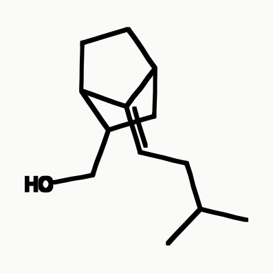 CC(C)CC=C1C2CCC1C(CO)C2